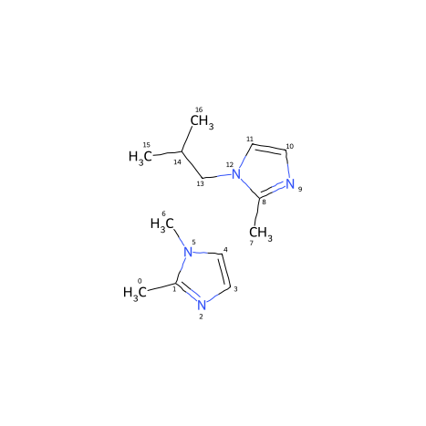 Cc1nccn1C.Cc1nccn1CC(C)C